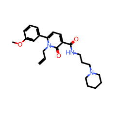 C=CCn1c(-c2cccc(OC)c2)ccc(C(=O)NCCCN2CCCCC2)c1=O